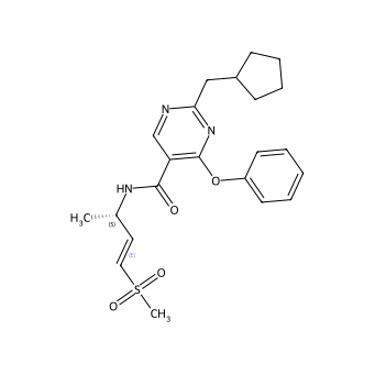 C[C@@H](/C=C/S(C)(=O)=O)NC(=O)c1cnc(CC2CCCC2)nc1Oc1ccccc1